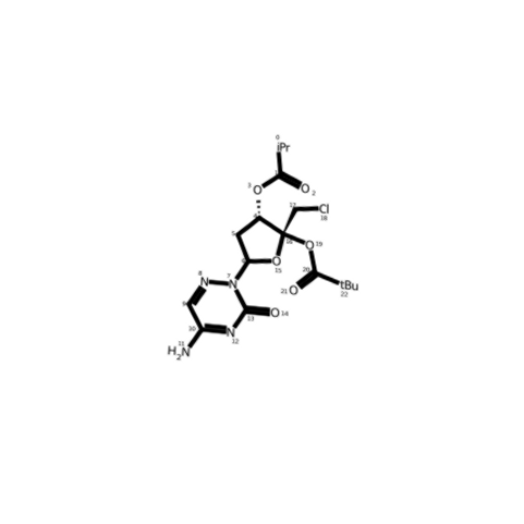 CC(C)C(=O)O[C@H]1CC(n2ncc(N)nc2=O)O[C@@]1(CCl)OC(=O)C(C)(C)C